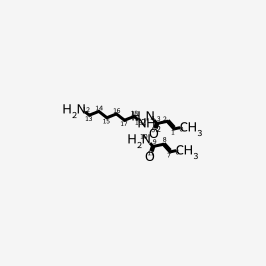 CC=CC(N)=O.CC=CC(N)=O.NCCCCCCN